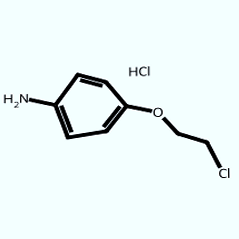 Cl.Nc1ccc(OCCCl)cc1